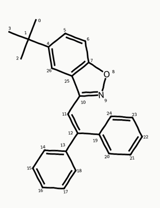 CC(C)(C)c1ccc2onc(C=C(c3ccccc3)c3ccccc3)c2c1